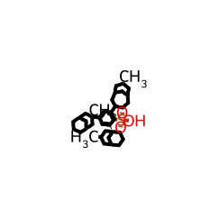 CC1CC2CCC(c3cc(C4(C)CC5CCCC(C5)C4)cc([C@@]45CCCC(CC(C)C4)C5)c3S(=O)(=O)O)CC(C1)C2